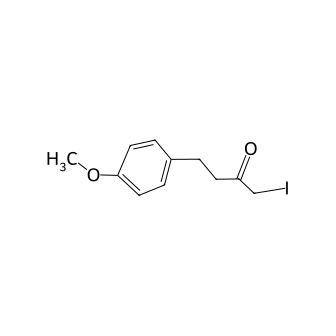 COc1ccc(CCC(=O)CI)cc1